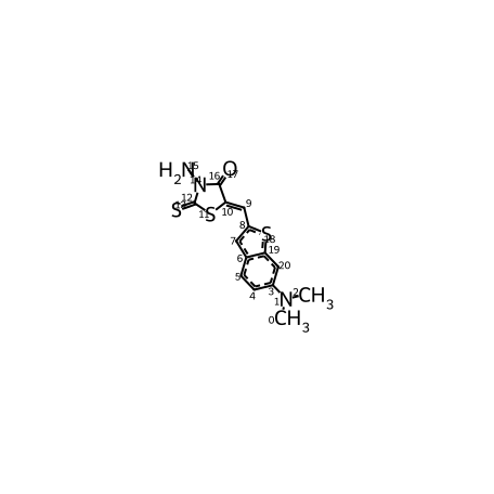 CN(C)c1ccc2cc(/C=C3\SC(=S)N(N)C3=O)sc2c1